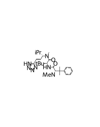 CN[C@H](C(=O)N[C@H](C(=O)N(C)[C@H](C=Cc1nnn[nH]1)C(C)C)C(C)(C)C)C(C)(C)c1ccccc1